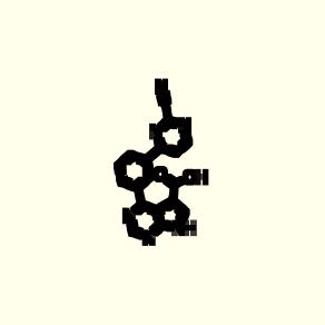 N#Cc1nccc(-c2cccc(-c3ncnc4[nH]cc(C(=O)O)c34)c2)n1